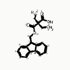 CCC(CC)(C(=O)O)C(=O)OCC1c2ccccc2-c2ccccc21